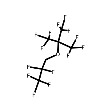 FC(F)(F)C(F)(F)COC(C(F)(F)F)(C(F)(F)F)C(F)(F)F